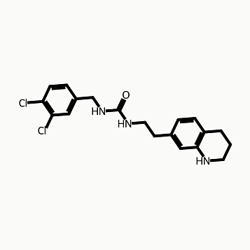 O=C(NCCc1ccc2c(c1)NCCC2)NCc1ccc(Cl)c(Cl)c1